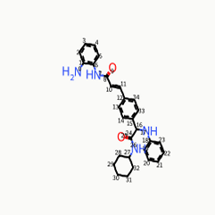 Nc1ccccc1NC(=O)/C=C/c1ccc(C(Nc2ccccc2)C(=O)NC2CCCCC2)cc1